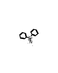 [N].[N].c1ccc([Si]c2ccccc2)cc1